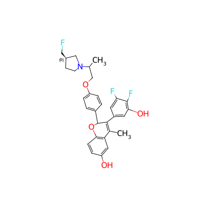 CC1=C(c2cc(O)c(F)c(F)c2)C(c2ccc(OCC(C)N3CC[C@@H](CF)C3)cc2)Oc2ccc(O)cc21